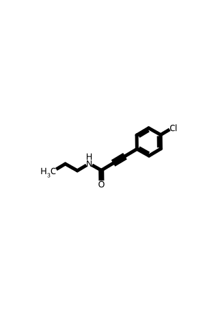 CCCNC(=O)C#Cc1ccc(Cl)cc1